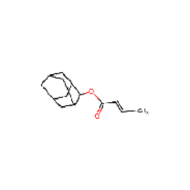 CC=CC(=O)OC1C2CC3CC(C2)CC1C3